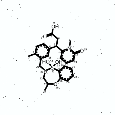 Cc1ccc(C(CC(=O)O)c2cccc(=O)n2C)cc1CN1CC(C)Oc2ccccc2S1(O)O